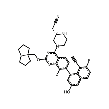 C#Cc1c(F)ccc2cc(O)cc(-c3ccc4c(N5CCN[C@@H](CC#N)C5)nc(OCC56CCCN5CCC6)nc4c3F)c12